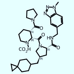 Cn1nnc2cc(CNC(=O)[C@@H]3C[C@@H](CC4CCC5(CC4)CC5)CN3C(=O)[C@H]3[C@@H](C(=O)N4CCCC4)CCCN3C(=O)O)ccc21